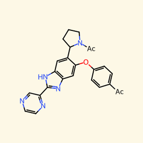 CC(=O)c1ccc(Oc2cc3nc(-c4cnccn4)[nH]c3cc2C2CCCN2C(C)=O)cc1